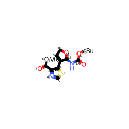 COC(=O)c1ncsc1C1=CCOC1NC(=O)OC(C)(C)C